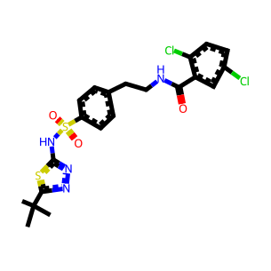 CC(C)(C)c1nnc(NS(=O)(=O)c2ccc(CCNC(=O)c3cc(Cl)ccc3Cl)cc2)s1